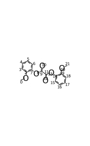 COc1ccccc1OC(=O)C(=O)Oc1ccccc1OC